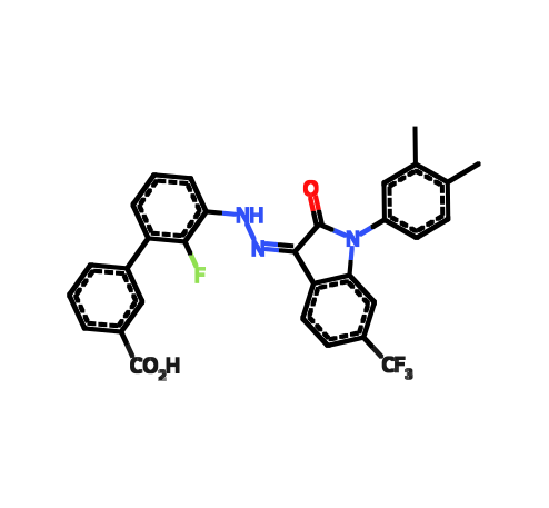 Cc1ccc(N2C(=O)C(=NNc3cccc(-c4cccc(C(=O)O)c4)c3F)c3ccc(C(F)(F)F)cc32)cc1C